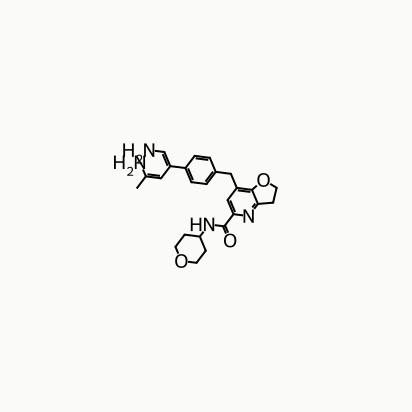 C/C(N)=C/C(=C\N)c1ccc(Cc2cc(C(=O)NC3CCOCC3)nc3c2OCC3)cc1